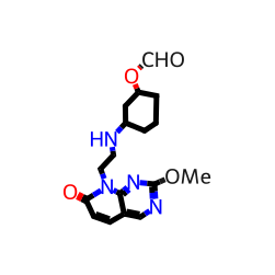 COc1ncc2ccc(=O)n(CCNC3CCCC(OC=O)C3)c2n1